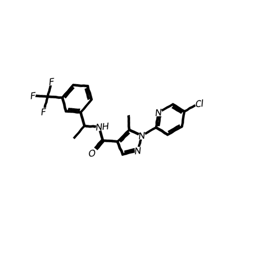 Cc1c(C(=O)NC(C)c2cccc(C(F)(F)F)c2)cnn1-c1ccc(Cl)cn1